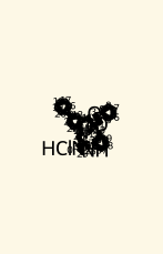 Cl.O=S(=O)(c1ccccc1)N1Cc2cc(-c3ccccc3)ccc2N(Cc2c[nH]cn2)C[C@H]1Cc1ccccc1